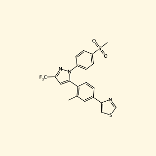 Cc1cc(-c2cscn2)ccc1-c1cc(C(F)(F)F)nn1-c1ccc(S(C)(=O)=O)cc1